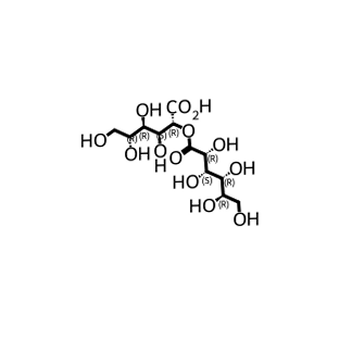 O=C(O[C@@H](C(=O)O)[C@@H](O)[C@H](O)[C@H](O)CO)[C@H](O)[C@@H](O)[C@H](O)[C@H](O)CO